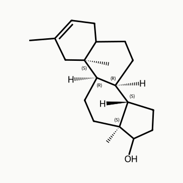 CC1=CCC2CC[C@@H]3[C@@H](CC[C@]4(C)C(O)CC[C@@H]34)[C@@]2(C)C1